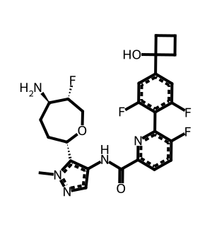 Cn1ncc(NC(=O)c2ccc(F)c(-c3c(F)cc(C4(O)CCC4)cc3F)n2)c1[C@@H]1CC[C@@H](N)[C@H](F)CO1